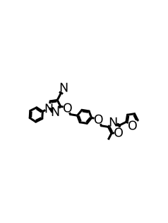 Cc1oc(-c2ccco2)nc1COc1ccc(COc2nn(-c3ccccc3)cc2C#N)cc1